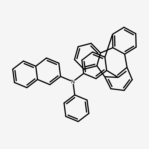 c1ccc(N(c2ccc3c(c2)-c2c4cccc2-c2cccc-3c2-c2ccccc2-4)c2ccc3ccccc3c2)cc1